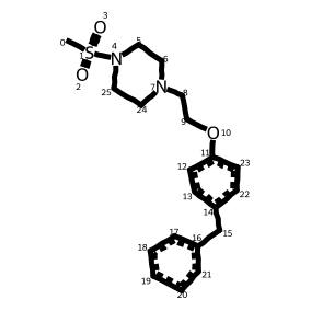 CS(=O)(=O)N1CCN(CCOc2ccc(Cc3ccccc3)cc2)CC1